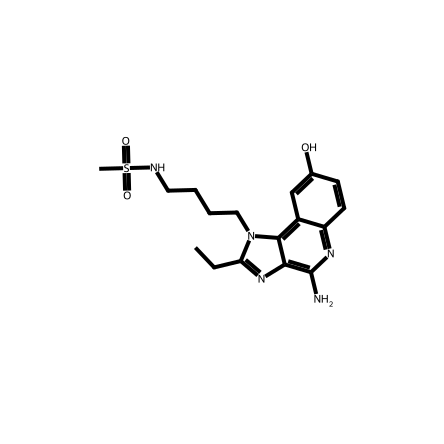 CCc1nc2c(N)nc3ccc(O)cc3c2n1CCCCNS(C)(=O)=O